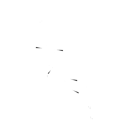 CCC1CC[C@@H]2C3CC[C@@]4(C)C(CC[C@@H]4C(=O)Cn4cccn4)[C@@H]3CC[C@@H]2C1